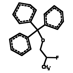 [CH2]C(F)COC(c1ccccc1)(c1ccccc1)c1ccccc1